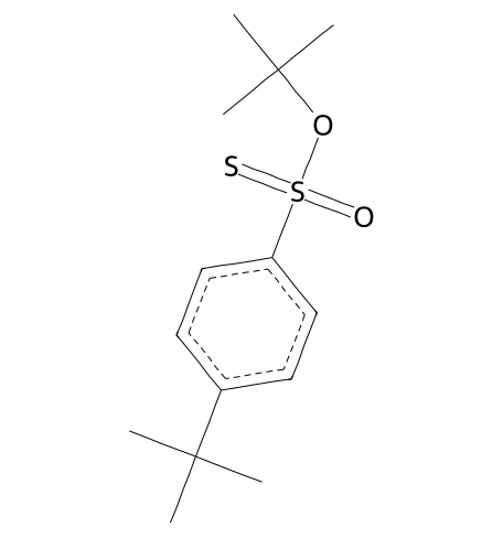 CC(C)(C)OS(=O)(=S)c1ccc(C(C)(C)C)cc1